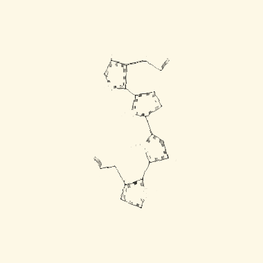 C=CCc1ccsc1-c1ccc(-c2ccc(-c3sccc3CC=C)s2)s1